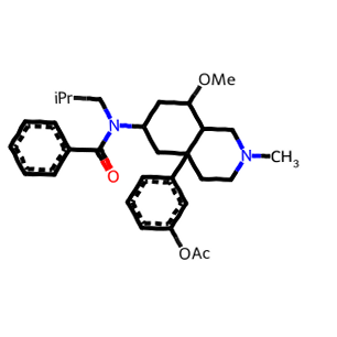 COC1CC(N(CC(C)C)C(=O)c2ccccc2)CC2(c3cccc(OC(C)=O)c3)CCN(C)CC12